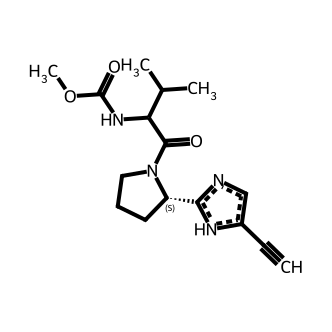 C#Cc1cnc([C@@H]2CCCN2C(=O)C(NC(=O)OC)C(C)C)[nH]1